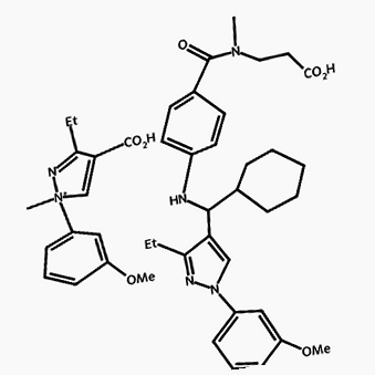 CCC1=N[N+](C)(c2cccc(OC)c2)C=C1C(=O)O.CCc1nn(-c2cccc(OC)c2)cc1C(Nc1ccc(C(=O)N(C)CCC(=O)O)cc1)C1CCCCC1